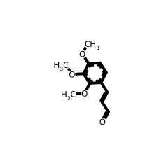 COc1ccc(/C=C/[C]=O)c(OC)c1OC